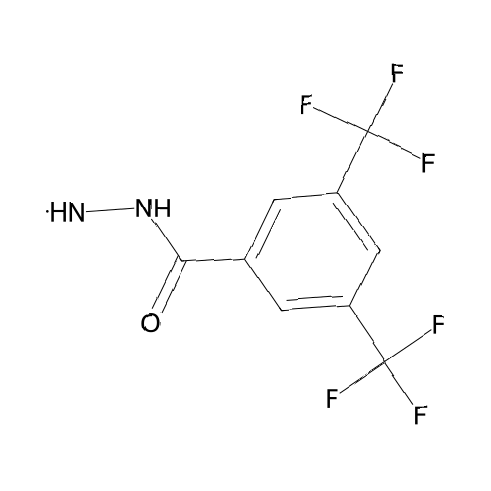 [NH]NC(=O)c1cc(C(F)(F)F)cc(C(F)(F)F)c1